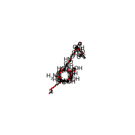 CC[C@H](C)C[C@H](C)CCCCCCCCC(=O)N[C@H]1C[C@@H](O)[C@@H](NCCN)NC(=O)[C@@H]2CCCN2C(=O)[C@H]([C@H](O)CCNC(=O)CCC(=O)NCCOCCOCCNC(=O)[C@H](Cc2ccccc2)NC(=O)CNC(=O)[C@H](CCSC)NC=O)NC(=O)[C@H]([C@H](O)[C@@H](O)c2ccc(O)cc2)NC(=O)[C@@H]2C[C@@H](O)CN2C(=O)[C@H]([C@@H](C)O)NC1=O